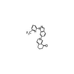 O=C1CCCC2=CCN(c3ccc4cnn(-c5cccc(C(F)(F)F)n5)c4c3)C=C12